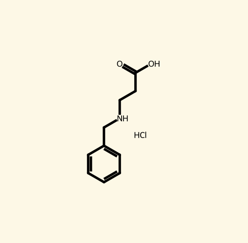 Cl.O=C(O)CCNCc1ccccc1